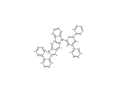 c1ccc(-c2cc(-n3c4ccccc4c4cc5c(cc43)cc3c4ccccc4c4ccccc4n53)nc(-c3ccccc3)n2)cc1